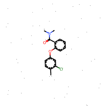 Cc1ccc(Oc2ccccc2C(=O)N(C)C)cc1Cl